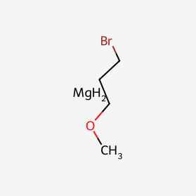 COCCCBr.[MgH2]